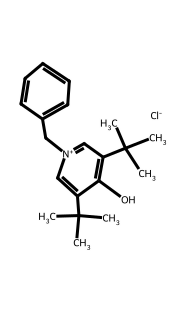 CC(C)(C)c1c[n+](Cc2ccccc2)cc(C(C)(C)C)c1O.[Cl-]